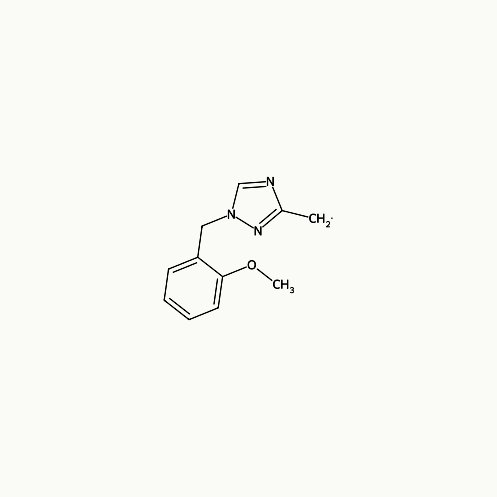 [CH2]c1ncn(Cc2ccccc2OC)n1